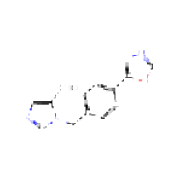 O=Cc1cncn1Cc1ccc(-c2cnco2)cc1